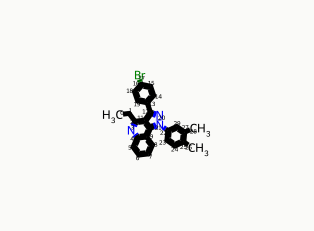 CCc1nc2ccccc2c2c1c(-c1ccc(Br)cc1)nn2-c1ccc(C)c(C)c1